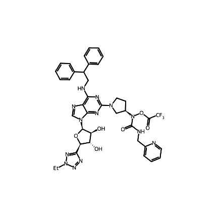 CCn1nnc([C@H]2O[C@@H](n3cnc4c(NCC(c5ccccc5)c5ccccc5)nc(N5CC[C@@H](N(OC(=O)C(F)(F)F)C(=O)NCc6ccccn6)C5)nc43)[C@@H](O)[C@@H]2O)n1